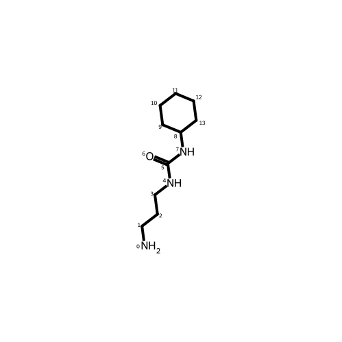 NCCCNC(=O)NC1CCCCC1